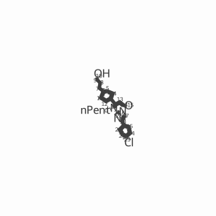 CCCCCn1c(-c2ccc(CCCO)cc2)cc(=O)n2cc(-c3ccc(Cl)cc3)nc12